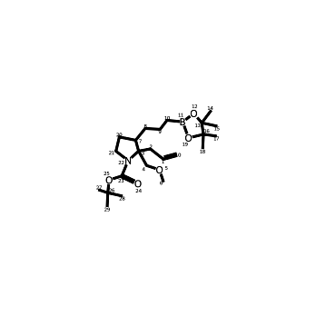 C=CCC1(COC)C(CCCB2OC(C)(C)C(C)(C)O2)CCN1C(=O)OC(C)(C)C